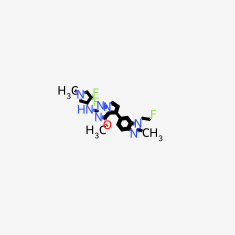 COc1nc(N[C@@H]2CN(C)CC2(F)F)nn2ccc(-c3ccc4nc(C)n(CCF)c4c3)c12